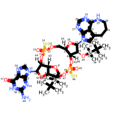 CC(C)(C)[Si](C)(C)CO[C@H]1[C@H]2OP(=O)(S)OC[C@H]3O[C@@H](n4cc5c6c(ncnc64)NCCC5)[C@H](O[Si](C)(C)C(C)(C)C)[C@@H]3OP(=O)(S)OC[C@H]1O[C@H]2n1cnc2c(=O)[nH]c(N)nc21